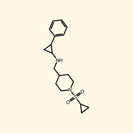 O=S(=O)(C1CC1)N1CCC(CNC2CC2c2ccccc2)CC1